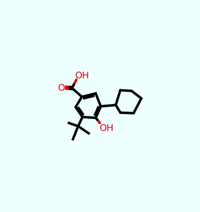 CC(C)(C)c1cc(C(=O)O)cc(C2CCCCC2)c1O